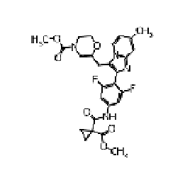 COC(=O)N1CCOC(Cc2c(-c3c(F)cc(NC(=O)C4(C(=O)OC)CC4)cc3F)nc3cc(C)ccn23)C1